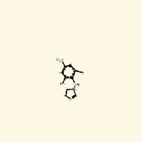 Nc1cc(Br)c(NN2C=NCC2)c(Br)c1